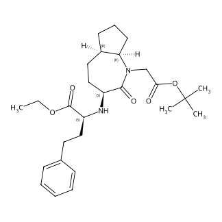 CCOC(=O)[C@H](CCc1ccccc1)N[C@H]1CC[C@H]2CCC[C@H]2N(CC(=O)OC(C)(C)C)C1=O